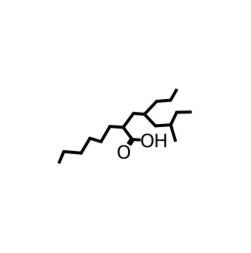 CCCCCCC(CC(CCC)CC(C)CC)C(=O)O